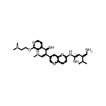 CN/C=C(\C(=N)c1ccnc(OCCN(C)C)c1)c1cnc2ccc(N/C(N)=C/C(=C\N)C(C)C)nc2c1